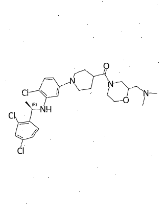 C[C@@H](Nc1cc(N2CCC(C(=O)N3CCOC(CN(C)C)C3)CC2)ccc1Cl)c1ccc(Cl)cc1Cl